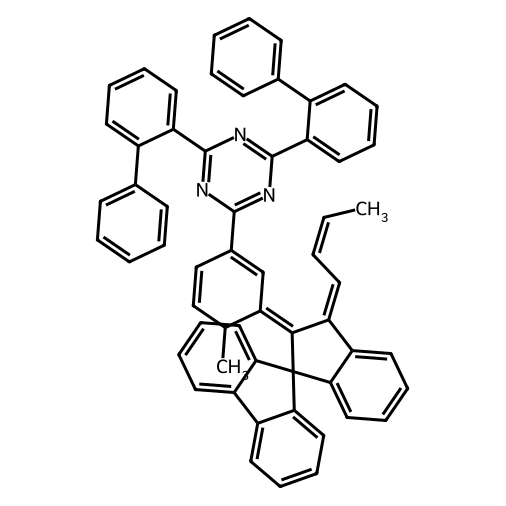 C\C=C/C=C1\C(=C2/C=C(c3nc(-c4ccccc4-c4ccccc4)nc(-c4ccccc4-c4ccccc4)n3)C=CC2C)C2(c3ccccc31)c1ccccc1-c1ccccc12